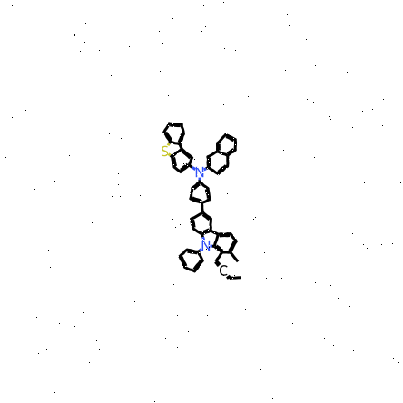 CC=C=Cc1c(C)ccc2c3cc(-c4ccc(N(c5ccc6ccccc6c5)c5ccc6sc7ccccc7c6c5)cc4)ccc3n(-c3ccccc3)c12